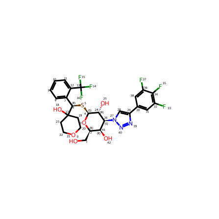 OC[C@H]1O[C@@H](S[C@H](c2ccccc2C(F)(F)F)C2(O)CCOCC2)[C@H](O)[C@@H](n2cc(-c3cc(F)c(F)c(F)c3)nn2)[C@H]1O